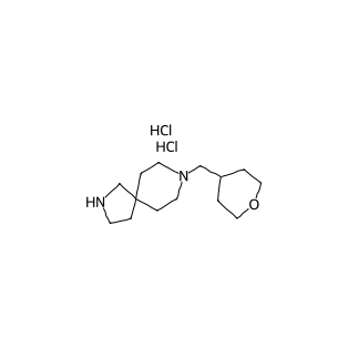 C1CC2(CCN(CC3CCOCC3)CC2)CN1.Cl.Cl